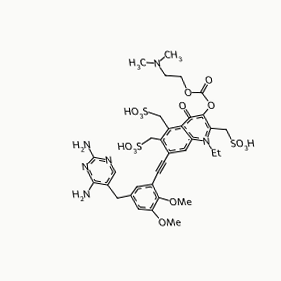 CCn1c(CS(=O)(=O)O)c(OC(=O)OCCN(C)C)c(=O)c2c(CS(=O)(=O)O)c(CS(=O)(=O)O)c(C#Cc3cc(Cc4cnc(N)nc4N)cc(OC)c3OC)cc21